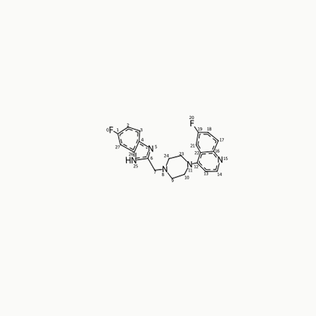 Fc1ccc2nc(CN3CCN(c4ccnc5ccc(F)cc45)CC3)[nH]c2c1